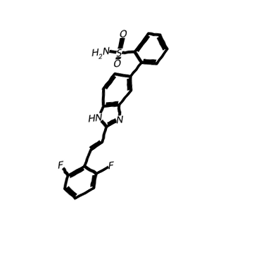 NS(=O)(=O)c1ccccc1-c1ccc2[nH]c(C=Cc3c(F)cccc3F)nc2c1